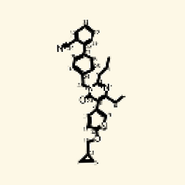 CCCc1nc(CC)c(-c2ccc(OCC3CC3)nc2)c(=O)n1Cc1ccc(-c2ccccc2C#N)cc1